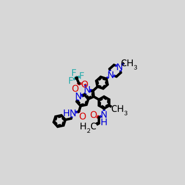 C=CC(=O)Nc1cc(-c2c(-c3ccc(N4CCN(C)CC4)cc3)n(OC(=O)C(F)(F)F)c3ncc(C(=O)NCc4ccccc4)cc23)ccc1C